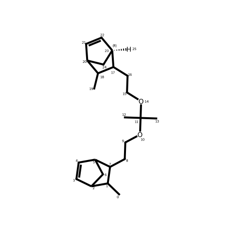 CC1C2C=CC(C2)C1CCOC(C)(C)OCCC1C(C)C2C=C[C@@H]1C2